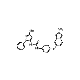 Cn1cc2cc(Oc3ccc(NC(=O)Nc4cc(C(C)(C)C)nn4-c4ccccc4)cc3)ccc2n1